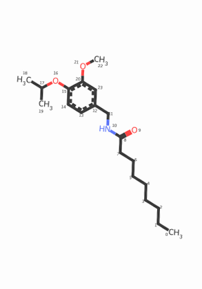 CCCCCCCCC(=O)NCc1ccc(OC(C)C)c(OC)c1